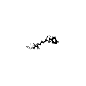 CC[C@H](NC(=O)CCCNC(=O)C(N)CC(=O)O)c1ccccc1